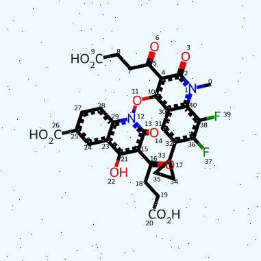 Cn1c(=O)c(C(=O)CCC(=O)O)c(On2c(=O)c(C(=O)CCC(=O)O)c(O)c3cc(C(=O)O)ccc32)c2cc(C3CC3)c(F)c(F)c21